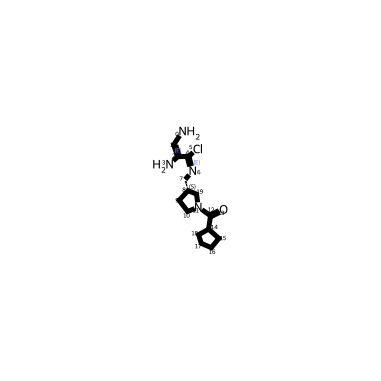 N/C=C(N)\C(Cl)=N/C[C@H]1CCN(C(=O)C2CCCC2)C1